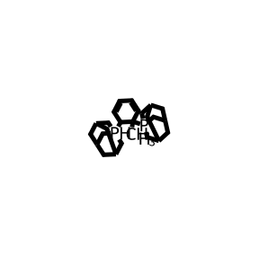 CC1([PH]23CC4CC(CC(C4)C2)C3)C=CC=CC1[PH]12CC3CC(CC(C3)C1)C2